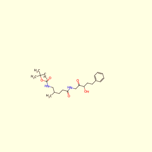 CC(CCC(=O)NCC(=O)C(O)CCc1ccccc1)CNC(=O)OC(C)(C)C